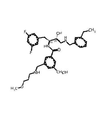 CCc1cccc(CNC[C@@H](O)[C@H](Cc2cc(F)cc(F)c2)NC(=O)c2cc(C)cc(CNCCCOC)c2)c1.Cl